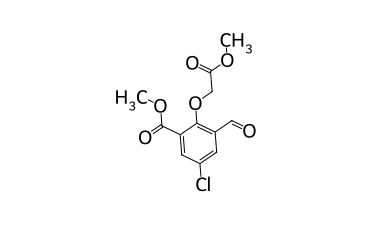 COC(=O)COc1c(C=O)cc(Cl)cc1C(=O)OC